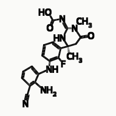 CN1C(=O)C[C@@](C)(c2cccc(Nc3cccc(C#N)c3N)c2F)N/C1=N\C(=O)O